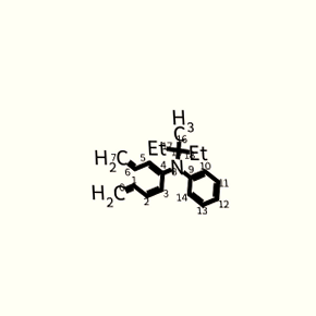 C=C/C=C\C(=C/C=C)N(c1ccccc1)C(C)(CC)CC